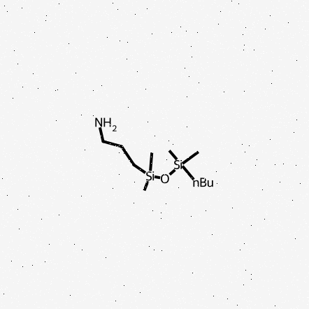 CCCC[Si](C)(C)O[Si](C)(C)CCCN